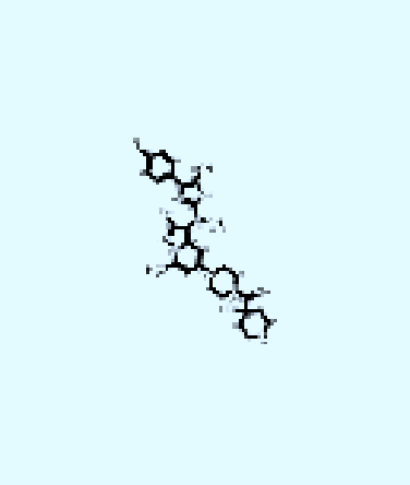 CCc1nn2c(C)cc(N3CCN(C(=O)C4(O)CCOCC4)CC3)cc2c1N(C)c1nc(-c2ccc(F)cc2)c(C#N)s1